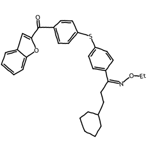 CCO/N=C(/CCC1CCCCC1)c1ccc(Sc2ccc(C(=O)c3cc4ccccc4o3)cc2)cc1